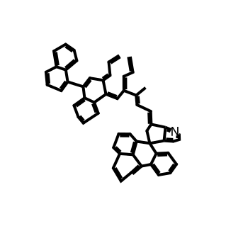 C=C/C=C(/C=c1\c(=C\C=C)cc(-c2cccc3ccccc23)c2ccccc12)C(\C)=C\C=C1/CC2(c3ccccc3-c3cccc4cccc2c34)c2cccnc21